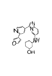 OC1CCCC(Nc2ccc3ncc(-c4ccnc(-c5ccoc5)c4)n3c2)C1